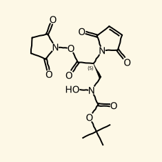 CC(C)(C)OC(=O)N(O)C[C@@H](C(=O)ON1C(=O)CCC1=O)N1C(=O)C=CC1=O